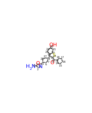 Nc1cnc(-c2ccc(-c3c(C(=O)c4ccccc4)sc4cc(O)ccc34)cc2)o1